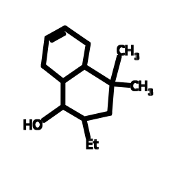 CCC1CC(C)(C)C2CC=CCC2C1O